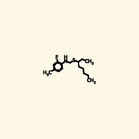 CCCCC[C@H](CC)SCNc1ccc(C)cc1F